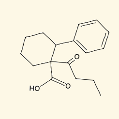 CCCC(=O)C1(C(=O)O)CCCCC1c1ccccc1